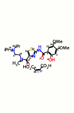 COc1cc(O)c(C(=O)Nc2nc(C(=O)N(C)CCN(C(C)C)C(C)C)cs2)cc1OC.O=C(O)/C=C\C(=O)O